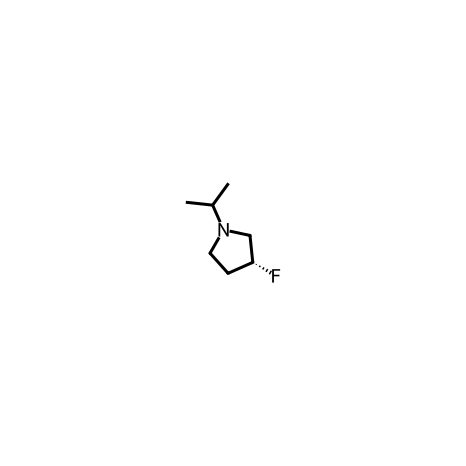 CC(C)N1CC[C@@H](F)C1